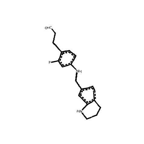 O=CCCc1ccc(NCc2ccc3c(c2)NCCC3)cc1F